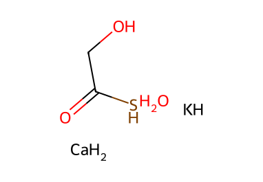 O.O=C(S)CO.[CaH2].[KH]